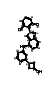 OC1CN(c2cc(Nc3nccc4nn(-c5c(Cl)cccc5Cl)cc34)ncn2)C1